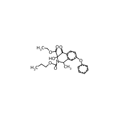 CCCOC(=O)N1C(C)c2cc(Oc3ccccc3)ccc2C(=O)C1(O)C(=O)OCC